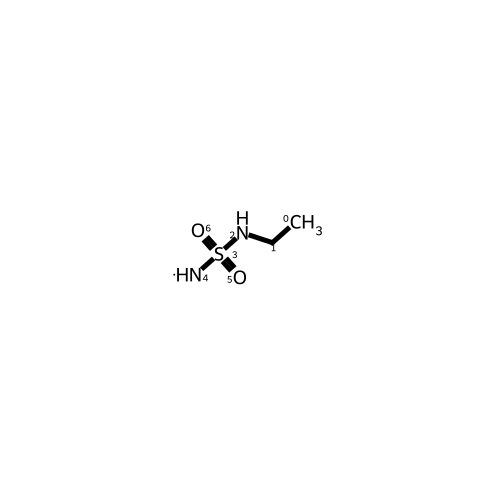 CCNS([NH])(=O)=O